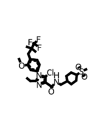 CCc1nc(C(=O)NCC2CCC(S(C)(=O)=O)CC2)c(Cl)n1-c1ccc(CC(C)(C)C(F)(F)F)c(OC)c1